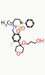 C[C@H]1CC[C@H](c2ccccc2)S(=O)(=O)N1Cc1cc(F)c(C2(OCCCO)CCOCC2)cc1F